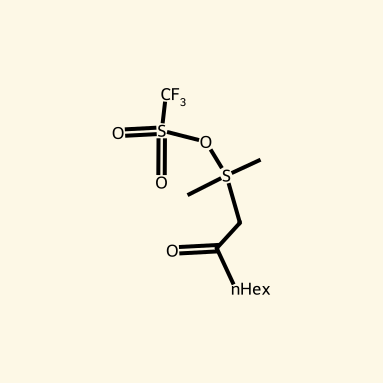 CCCCCCC(=O)CS(C)(C)OS(=O)(=O)C(F)(F)F